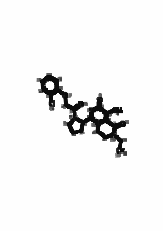 O=C1c2c(O)c(=O)nc(C3CCCN3C(=O)COc3ccccc3Cl)n2CCN1CC(F)(F)F